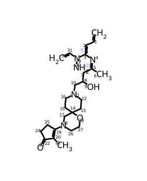 C=C/C=C(\N=C(\C)CC(O)CN1CCC2(CC1)CN(C1=C(C)C(=O)CC1)CCO2)N(N)C=C